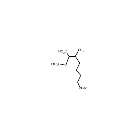 CCCCCCCCCCCCCCC(C)C(CC(=O)OCC)C(=O)O